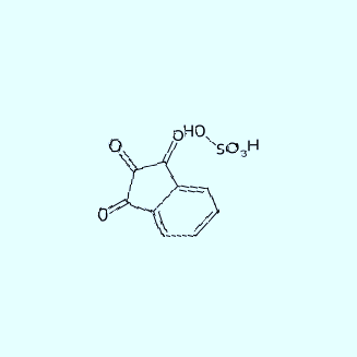 O=S(=O)(O)O.O=c1c(=O)c2ccccc2c1=O